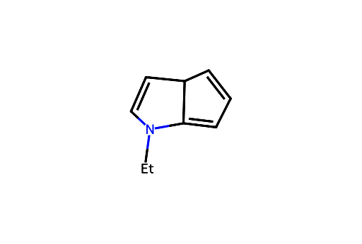 CCN1C=CC2C=CC=C21